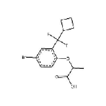 CC(Oc1ccc(Br)cc1C(F)(F)C1CCC1)C(=O)O